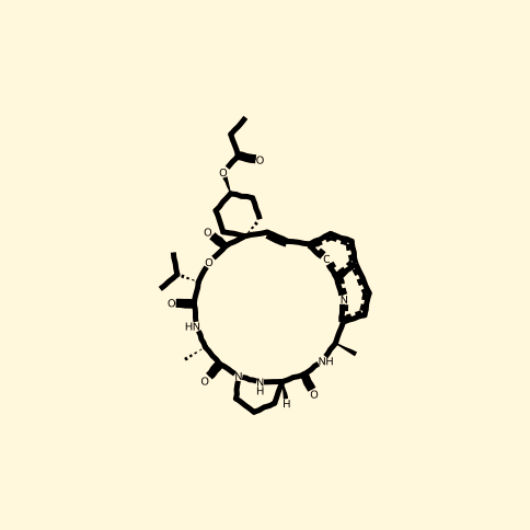 CCC(=O)O[C@H]1CC[C@@]2(/C=C/c3ccc4ccc(nc4c3)[C@@H](C)NC(=O)[C@@H]3CCCN(N3)C(=O)[C@H](C)NC(=O)[C@H](C(C)C)OC2=O)CC1